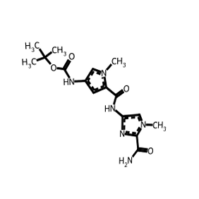 Cn1cc(NC(=O)OC(C)(C)C)cc1C(=O)Nc1cn(C)c(C(N)=O)n1